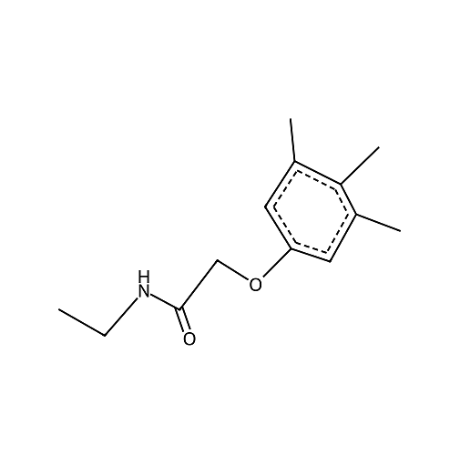 CCNC(=O)COc1cc(C)c(C)c(C)c1